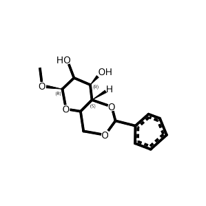 CO[C@@H]1OC2COC(c3ccccc3)O[C@H]2[C@H](O)C1O